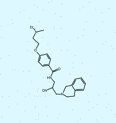 CCN(C)CCOc1ccc(C(=O)NCC(CN2CCc3ccccc3C2)N=O)cc1